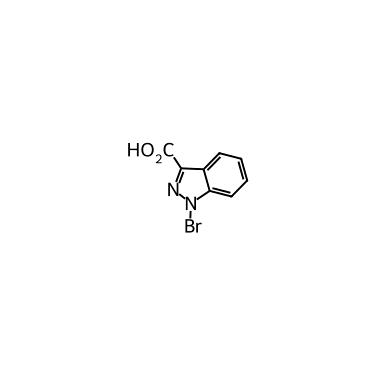 O=C(O)c1nn(Br)c2ccccc12